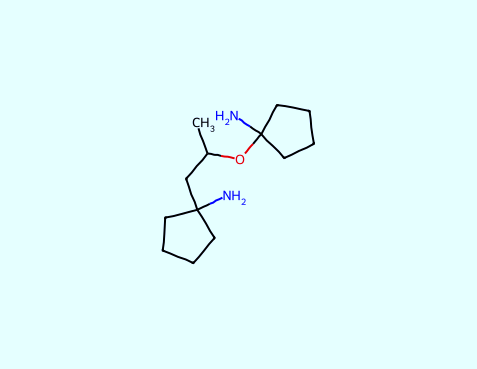 CC(CC1(N)CCCC1)OC1(N)CCCC1